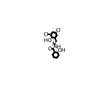 O=C(NN=Cc1cc(Cl)cc(Cl)c1O)c1ccccc1O